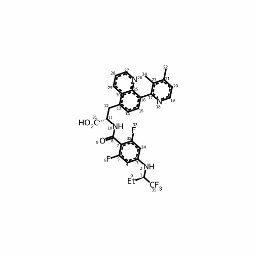 CC[C@@H](Nc1cc(F)c(C(=O)N[C@@H](Cc2ccc(-c3nccc(C)c3C)c3ncccc23)C(=O)O)c(F)c1)C(F)(F)F